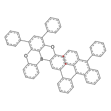 c1ccc(-c2cc(-c3ccccc3)c3c4c2Oc2ccccc2B4c2cc(-c4ccccc4-c4c5ccccc5c(-c5ccccc5)c5ccccc45)ccc2O3)cc1